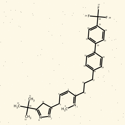 C/N=C(\C=C/CC1=NN=C(C(C)(C)C)C1)CCCc1ccc(-c2ccc(C(F)(F)F)cc2)cc1